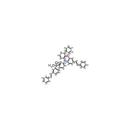 CC1(C)c2cc(/C=C/c3ccccc3)ccc2-c2ccc(N(C3=C4Oc5ccccc5C4CC=C3)c3ccc(/C=C/c4ccccc4)cc3)cc21